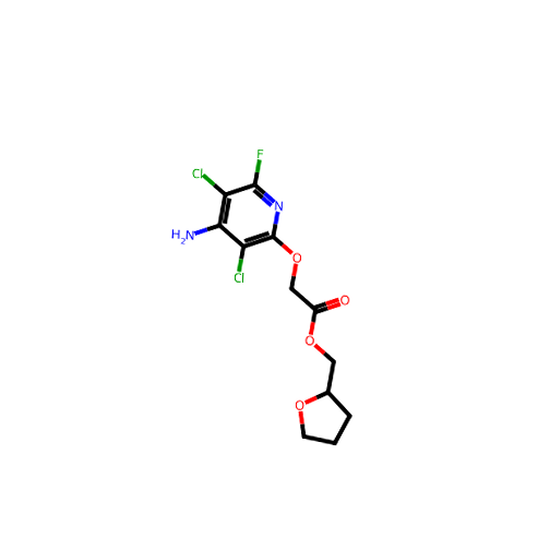 Nc1c(Cl)c(F)nc(OCC(=O)OCC2CCCO2)c1Cl